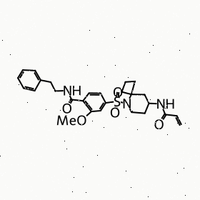 C=CC(=O)NC1CCN(S(=O)(=O)c2ccc(C(=O)NCCc3ccccc3)c(OC)c2)C2(CCC2)C1